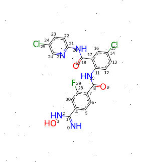 N=C(NO)c1ccc(C(=O)Nc2ccc(Cl)cc2C(=O)Nc2ccc(Cl)cn2)c(F)c1